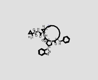 CC1(S(=O)(=O)NC(=O)[C@@]23C[C@H]2/C=C\CCCCC[C@H](Nc2ccccc2)C(=O)N2C[C@H](n4nnc5ccccc54)C[C@H]2C(=O)N3)CC1